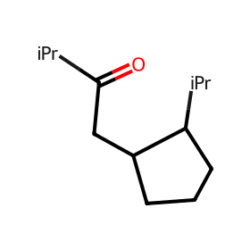 CC(C)C(=O)CC1CCCC1C(C)C